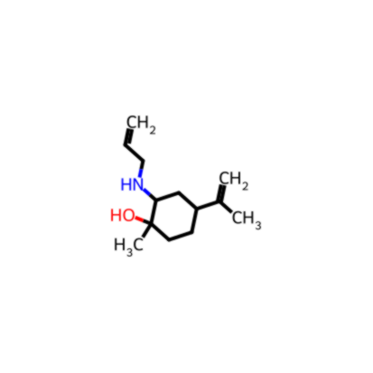 C=CCNC1CC(C(=C)C)CCC1(C)O